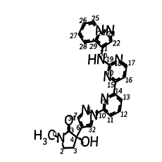 CN1CC[C@@](O)(c2cnn(-c3cccc(-c4ccnc(Nc5cnn6ccccc56)n4)n3)c2)C1=O